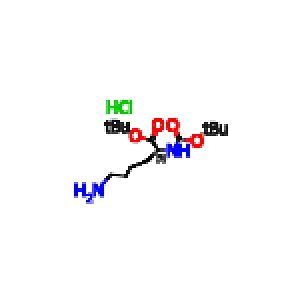 CC(C)(C)OC(=O)N[C@@H](CCCCN)C(=O)OC(C)(C)C.Cl